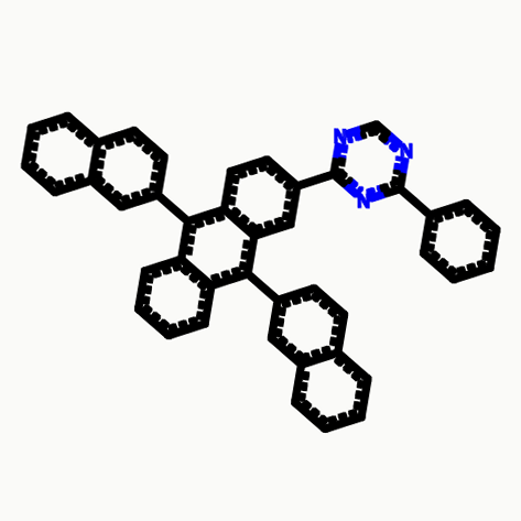 c1ccc(-c2ncnc(-c3ccc4c(-c5ccc6ccccc6c5)c5ccccc5c(-c5ccc6ccccc6c5)c4c3)n2)cc1